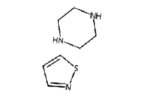 C1CNCCN1.c1cnsc1